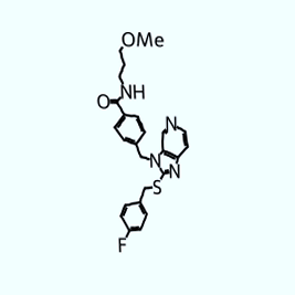 COCCCNC(=O)c1ccc(Cn2c(SCc3ccc(F)cc3)nc3ccncc32)cc1